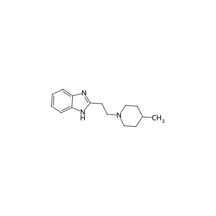 CC1CCN(CCc2nc3ccccc3[nH]2)CC1